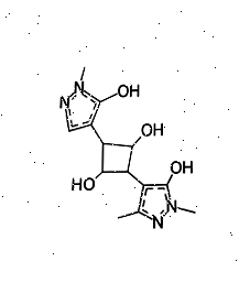 Cc1nn(C)c(O)c1C1C(O)C(c2cnn(C)c2O)C1O